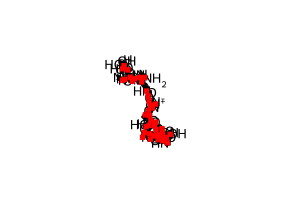 CC1(C)C=C(CS(=O)(=O)O)c2cc3c(cc2=N1)Oc1cc2c(cc1C=3c1cc(C(=O)NNC(=O)C3=CC(OCC(N=[N+]=[N-])OCCOCC(=O)NCC#CC4CN([C@H]5CC(OC(F)N=[N+]=[N-])[C@@H](CO[PH](=O)O[PH](=O)OP(O)O)O5)C5NN=C(N)C45)CC=C3)ccc1C(=O)O)C(CS(=O)(=O)O)=CC(C)(C)N2